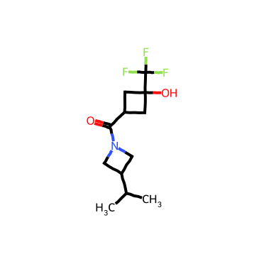 CC(C)C1CN(C(=O)C2CC(O)(C(F)(F)F)C2)C1